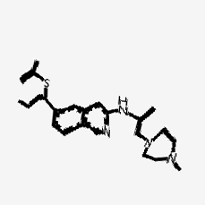 C=C(CN1CCN(C)CC1)Nc1cc2cc(/C(=C/C)SC(=C)C)ccc2cn1